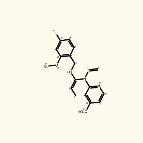 C=NN(/C(=C\C)OCc1ccc(F)cc1OC(C)CC)c1cc(C(=O)O)ccn1